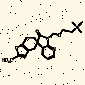 C[Si](C)(C)CCOCN1C(=O)[C@]2(CCc3oc(C(=O)O)cc3C2)c2cccnc21